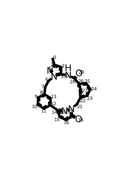 Cc1cc2n(n1)CCc1cccc(c1)-c1ccc(=O)n(n1)Cc1cccc(c1)C(=O)N2